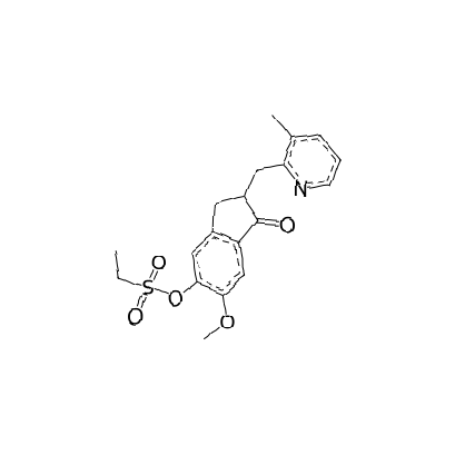 CCS(=O)(=O)Oc1cc2c(cc1OC)C(=O)C(Cc1ncccc1C)C2